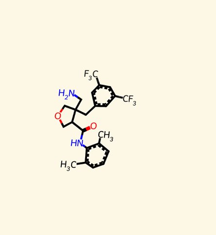 Cc1cccc(C)c1NC(=O)C1COCC1(CN)Cc1cc(C(F)(F)F)cc(C(F)(F)F)c1